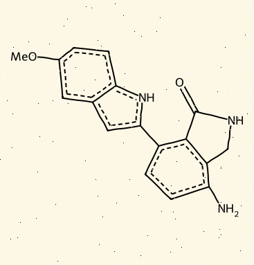 COc1ccc2[nH]c(-c3ccc(N)c4c3C(=O)NC4)cc2c1